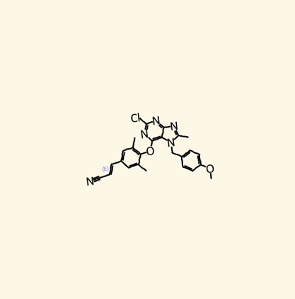 COc1ccc(Cn2c(C)nc3nc(Cl)nc(Oc4c(C)cc(/C=C/C#N)cc4C)c32)cc1